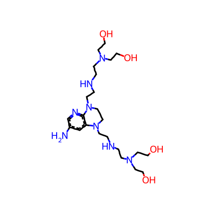 Nc1cnc2c(c1)N(CCNCCN(CCO)CCO)CCN2CCNCCN(CCO)CCO